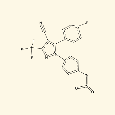 N#Cc1c(C(F)(F)F)nn(-c2ccc(N=S(=O)=O)cc2)c1-c1ccc(F)cc1